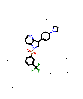 O=S(=O)(c1cccc(C(F)(F)F)c1)N1CC(C2=CCC(N3CCC3)CC2)c2ncccc21